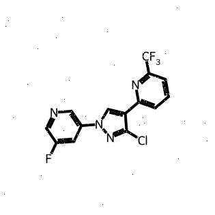 Fc1cncc(-n2cc(-c3cccc(C(F)(F)F)n3)c(Cl)n2)c1